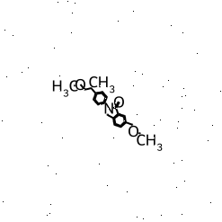 CCOCc1ccc2c(c1)C(=O)N(c1ccc(C(C)COC)cc1)C2